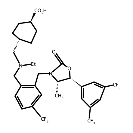 CCN(Cc1ccc(C(F)(F)F)cc1CN1C(=O)O[C@H](c2cc(C(F)(F)F)cc(C(F)(F)F)c2)[C@@H]1C)C[C@H]1CC[C@H](C(=O)O)CC1